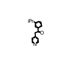 CC(C)c1cccc(C(=O)Cc2ccncc2)c1